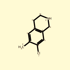 Cc1cc2c(cc1Cl)CNCC2